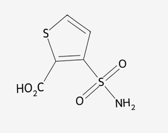 NS(=O)(=O)c1ccsc1C(=O)O